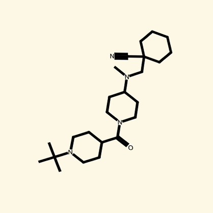 CN(CC1(C#N)CCCCC1)C1CCN(C(=O)C2CCN(C(C)(C)C)CC2)CC1